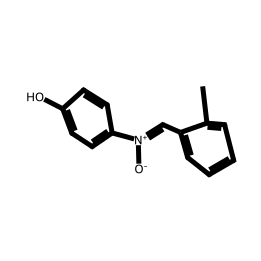 Cc1ccccc1C=[N+]([O-])c1ccc(O)cc1